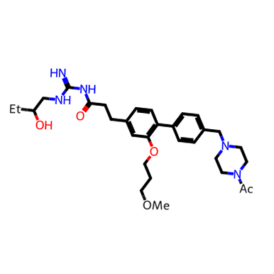 CCC(O)CNC(=N)NC(=O)CCc1ccc(-c2ccc(CN3CCN(C(C)=O)CC3)cc2)c(OCCCOC)c1